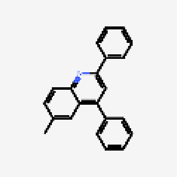 Cc1ccc2nc(-c3ccccc3)cc(-c3ccccc3)c2c1